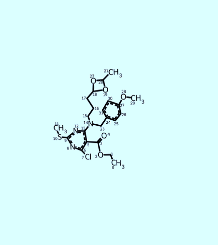 CCOC(=O)c1c(Cl)nc(SC)nc1N(CCCC1OC(C)O1)Cc1ccc(OC)cc1